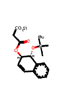 CCOC(=O)CC(=O)O[C@@H]1C=Cc2ccccc2[C@H]1O[Si](C)(C)C(C)(C)C